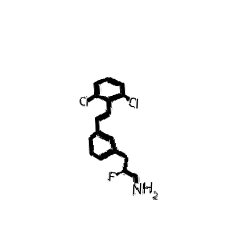 NC[C@@H](F)Cc1cccc(C=Cc2c(Cl)cccc2Cl)c1